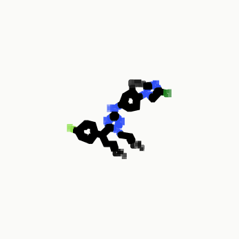 C=CCC(c1ccc(F)cc1)c1nc(Nc2ccc(-n3cnc(Cl)c3)c(OC)c2)nn1CC=C